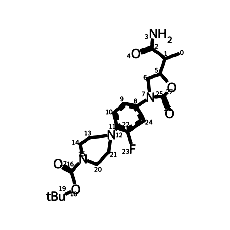 CC(C(N)=O)C1CN(c2ccc(N3CCN(C(=O)OC(C)(C)C)CC3)c(F)c2)C(=O)O1